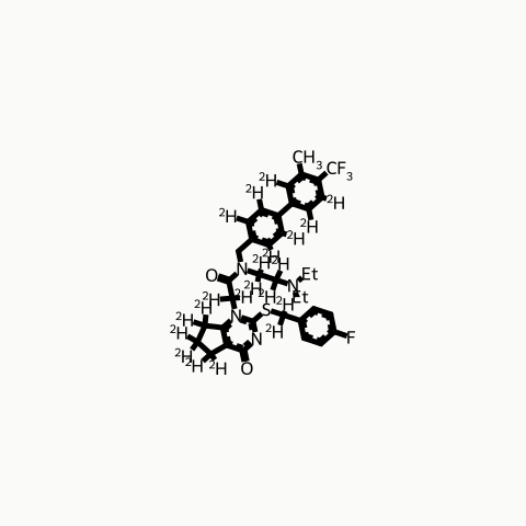 [2H]c1c([2H])c(-c2c([2H])c([2H])c(C(F)(F)F)c(C)c2[2H])c([2H])c([2H])c1CN(C(=O)C([2H])([2H])n1c(SC([2H])([2H])c2ccc(F)cc2)nc(=O)c2c1C([2H])([2H])C([2H])([2H])C2([2H])[2H])C([2H])([2H])C([2H])([2H])N(CC)CC